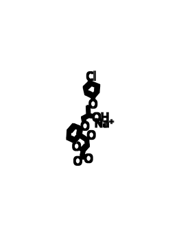 O=C([O-])c1cc(=O)c2c(OCC(O)COc3ccc(Cl)cc3)cccc2o1.[Na+]